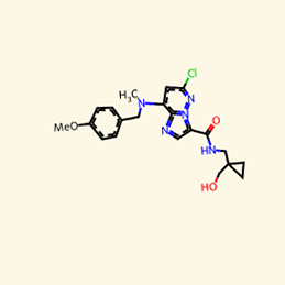 COc1ccc(CN(C)c2cc(Cl)nn3c(C(=O)NCC4(CO)CC4)cnc23)cc1